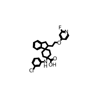 O=C(O)C1(Nc2cccc(Cl)c2)CCC2(CC1)c1ccccc1CC2CCOc1ccnc(F)c1